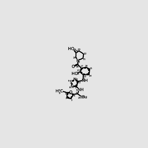 Cc1ccc(C(Nc2nsnc2Nc2cccc(C(=O)N3CCCC(O)C3)c2O)C(C)(C)C)o1